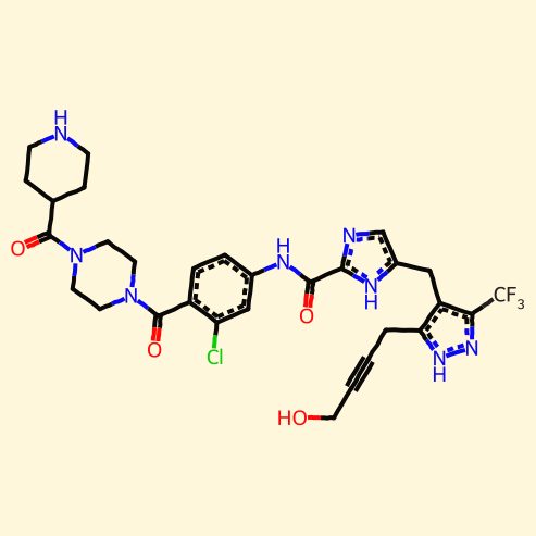 O=C(Nc1ccc(C(=O)N2CCN(C(=O)C3CCNCC3)CC2)c(Cl)c1)c1ncc(Cc2c(C(F)(F)F)n[nH]c2CC#CCO)[nH]1